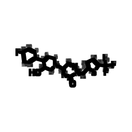 O=c1nc(N2CC=C(c3ccc(F)cc3)C(O)C2)cnn1Cc1ccc(C(F)(F)F)s1